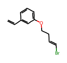 C=Cc1cccc(OCCC=CBr)c1